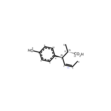 C/C=C\[C@@H](c1ccc(O)cc1)[C@H](C)C(=O)O